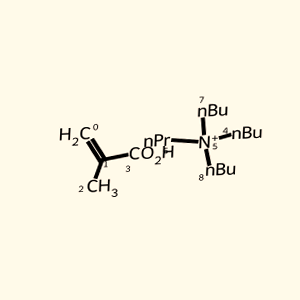 C=C(C)C(=O)O.CCCC[N+](CCC)(CCCC)CCCC